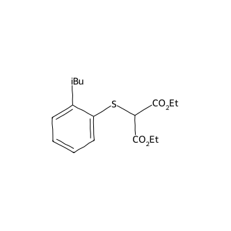 CCOC(=O)C(Sc1ccccc1C(C)CC)C(=O)OCC